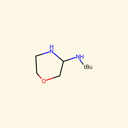 CC(C)(C)NC1COCCN1